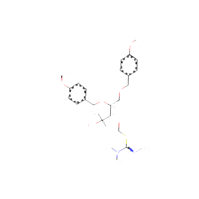 C/N=C(\SCO[C@@H]([C@H](COCc1ccc(OC)cc1)OCc1ccc(OC)cc1)C(C)(C)O)N(C)C